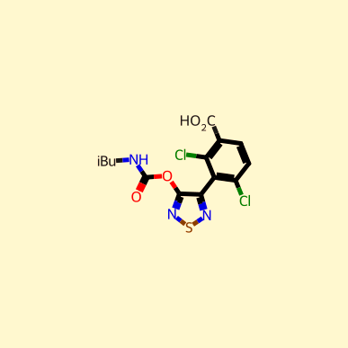 CCC(C)NC(=O)Oc1nsnc1-c1c(Cl)ccc(C(=O)O)c1Cl